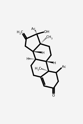 C=C1C[C@H]2[C@@H]3CCC4=CC(=O)CC(C(C)=O)[C@]4(C)[C@H]3CC[C@]2(C)[C@@]1(O)C(C)=O